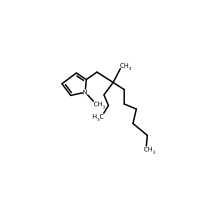 CCCCCCC(C)(CCC)Cc1cccn1C